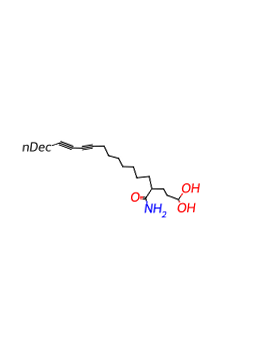 CCCCCCCCCCC#CC#CCCCCCCCC(CCC(O)O)C(N)=O